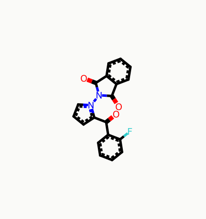 O=C(c1ccccc1F)c1cccn1N1C(=O)c2ccccc2C1=O